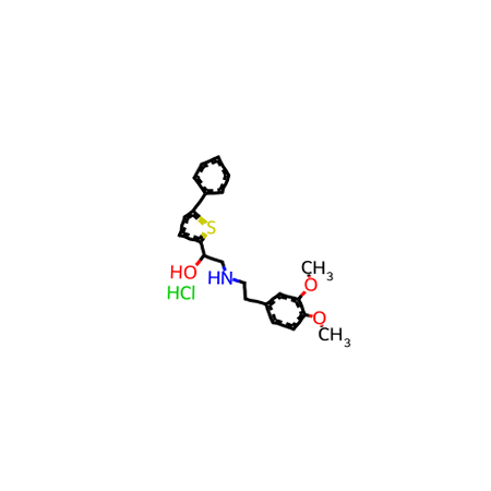 COc1ccc(CCNCC(O)c2ccc(-c3ccccc3)s2)cc1OC.Cl